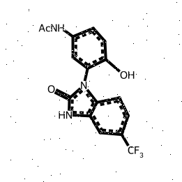 CC(=O)Nc1ccc(O)c(-n2c(=O)[nH]c3cc(C(F)(F)F)ccc32)c1